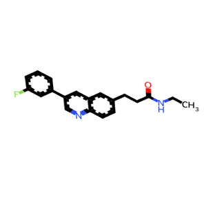 CCNC(=O)CCc1ccc2ncc(-c3cccc(F)c3)cc2c1